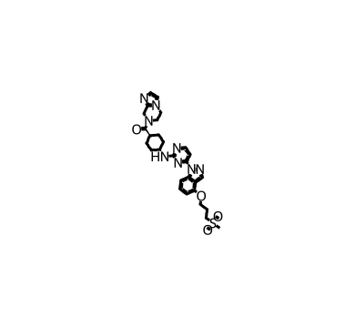 CS(=O)(=O)CCCOc1cccc2c1cnn2-c1ccnc(N[C@H]2CC[C@H](C(=O)N3CCn4ccnc4C3)CC2)n1